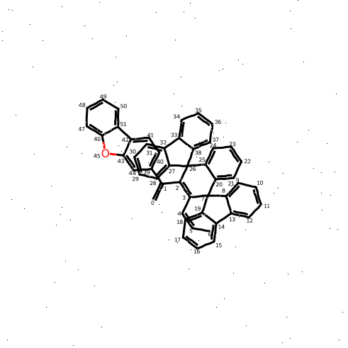 C=C(C1=C(/C=C\C)C2(c3ccccc3-c3ccccc32)c2ccccc2C12c1ccccc1-c1ccccc12)c1ccc2c(c1)oc1ccccc12